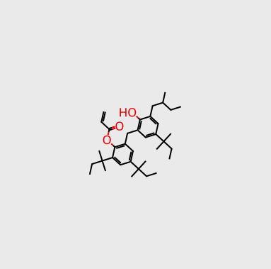 C=CC(=O)Oc1c(Cc2cc(C(C)(C)CC)cc(CC(C)CC)c2O)cc(C(C)(C)CC)cc1C(C)(C)CC